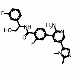 Cc1ncc(-c2cnc(N)c(-c3ccc(C(=O)NC(CO)c4cccc(F)c4)c(F)c3)c2)n1C